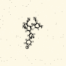 N#Cc1cc(F)ccc1Sc1cc(-c2cnn(C3CC[S+]([O-])CC3)c2)cn2ncc(C#N)c12